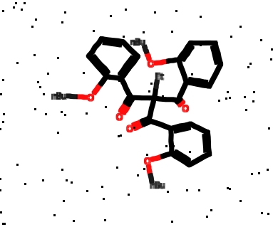 CCCCOc1ccccc1C(=O)C(CC)(C(=O)c1ccccc1OCCCC)C(=O)c1ccccc1OCCCC